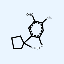 CCCCc1cc(Cl)c(C2(C(=O)O)CCCC2)cc1C=O